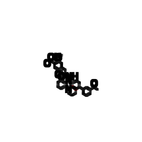 COc1cc(CC(=O)NN(c2ccc(-c3cccc(C(C)=O)c3)cc2)c2ccccc2N2CCCCC2)c(Cl)cc1C(=O)O